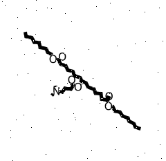 CCCCCCCCCOC(=O)CCCCCCC(CCCCCCC(=O)OCCCCCCCCC)OC(=O)CCCN(C)C